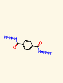 [N-]=[N+]=NC(=O)c1ccc(C(=O)N=[N+]=[N-])cc1